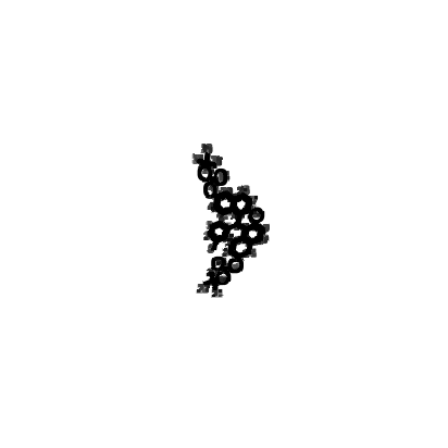 Cc1cccc(C2c3c(ccc4c3C=CC(OC(=O)OC(C)(C)C)C4)Oc3ccc4cc(OC(=O)OC(C)(C)C)ccc4c32)c1